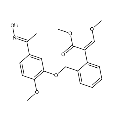 COC=C(C(=O)OC)c1ccccc1COc1cc(C(C)=NO)ccc1OC